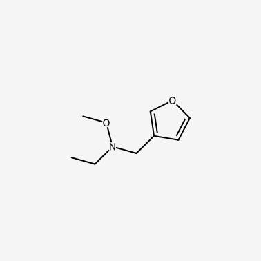 CCN(Cc1ccoc1)OC